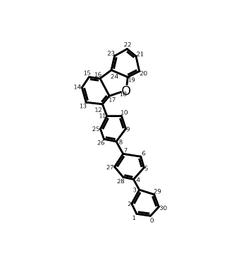 c1ccc(-c2ccc(-c3ccc(-c4cccc5c4oc4ccccc45)cc3)cc2)cc1